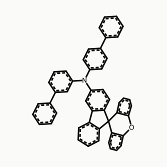 c1ccc(-c2ccc(N(c3cccc(-c4ccccc4)c3)c3ccc4c(c3)-c3ccccc3C43c4ccccc4Oc4ccccc43)cc2)cc1